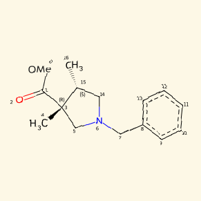 COC(=O)[C@@]1(C)CN(Cc2ccccc2)C[C@H]1C